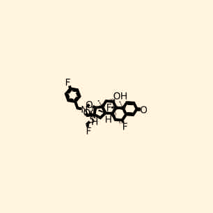 C[C@]12C[C@H](O)[C@@]3(F)[C@@H](C[C@H](F)C4=CC(=O)C=C[C@@]43C)[C@]1(C)C[C@H]1CN(Cc3ccc(F)cc3)O[C@]12C(=O)SCF